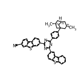 C[C@@H]1C[C@@H]2C[C@H](C)CC(c3ccc(-c4nc(-c5ccc6c(c5)sc5cc(C#N)ccc56)nc(-c5ccc6sc7ccccc7c6c5)n4)cc3)(C1)C2